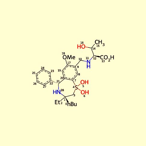 CCCC[C@]1(CC)CS(O)(O)c2cc(CN[C@H](C(=O)O)C(C)O)c(OC)cc2[C@@H](c2ccccc2)N1